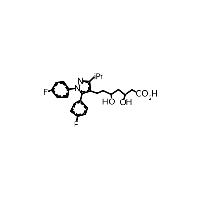 CC(C)c1nn(-c2ccc(F)cc2)c(-c2ccc(F)cc2)c1CCC(O)CC(O)CC(=O)O